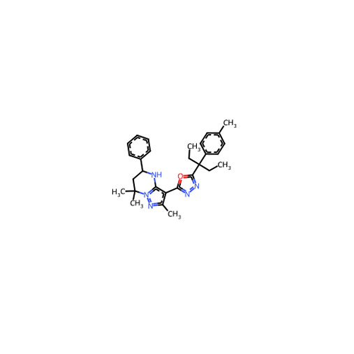 CCC(CC)(c1ccc(C)cc1)c1nnc(-c2c(C)nn3c2NC(c2ccccc2)CC3(C)C)o1